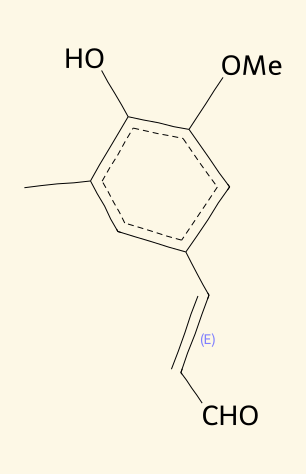 COc1cc(/C=C/C=O)cc(C)c1O